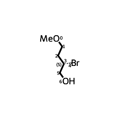 COCC[C@H](Br)CO